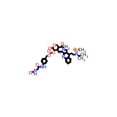 CC(C)N(CCc1c2c(nc3ccccc13)/C(=C/C1=C(C=O)COC(=O)C1OC(=O)OCc1ccc(NC(=O)CNC=O)cc1)N(C)C2)[S+](C)[O-]